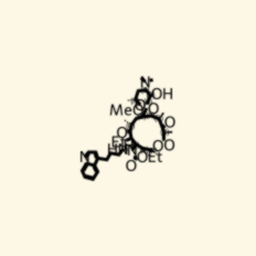 CCC1C(=O)[C@H](C)C[C@](C)(OC)[C@H](O[C@@H]2O[C@H](C)C[C@H](N(C)C)[C@H]2O)[C@@H](C)C(=O)[C@@H](C)C(=O)O[C@H](CC)[C@@]2(C)OC(=O)N(NCCCc3ccnc4ccccc34)[C@H]12